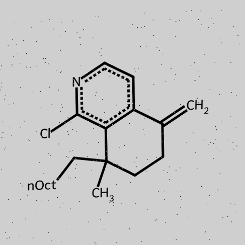 C=C1CCC(C)(CCCCCCCCC)c2c1ccnc2Cl